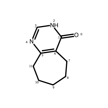 O=c1[nH][c]nc2c1CCCCC2